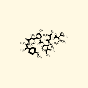 CCC(C)[C@@H]([C@@H](CC(=O)N1C[C@@H](O)C[C@H]1[C@H](OC)[C@@H](C)C(=O)N[C@H](C)C(N)c1ccc(OC)cc1)OC)N(C)C(=O)[C@@H](NC(=O)[C@H](C(C)C)N(C)C)C(C)C